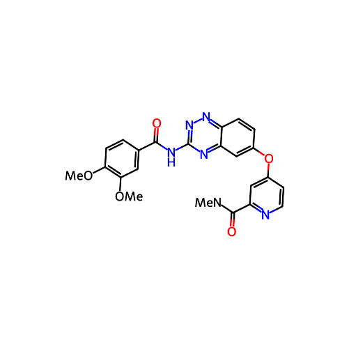 CNC(=O)c1cc(Oc2ccc3nnc(NC(=O)c4ccc(OC)c(OC)c4)nc3c2)ccn1